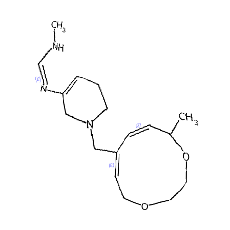 CN/C=N\C1=CCCN(CC2=C/COCCOC(C)/C=C\2)C1